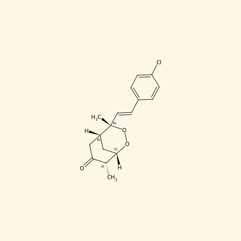 C[C@@H]1C(=O)C[C@H]2C[C@@H]1OO[C@@]2(C)C=Cc1ccc(Cl)cc1